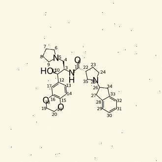 O=C(N[C@H](CN1CCCC1)[C@H](O)c1ccc2c(c1)OCCO2)[C@@H]1CCN(C2Cc3ccccc3C2)C1